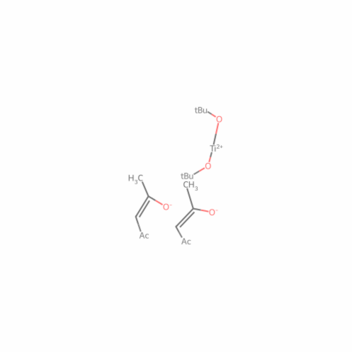 CC(=O)/C=C(/C)[O-].CC(=O)/C=C(/C)[O-].CC(C)(C)[O][Ti+2][O]C(C)(C)C